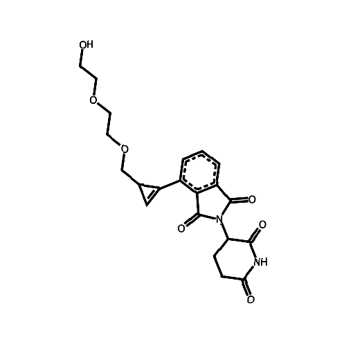 O=C1CCC(N2C(=O)c3cccc(C4=CC4COCCOCCO)c3C2=O)C(=O)N1